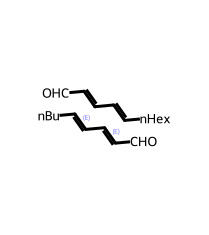 CCCC/C=C/C=C/C=O.CCCCCCC=CC=CC=O